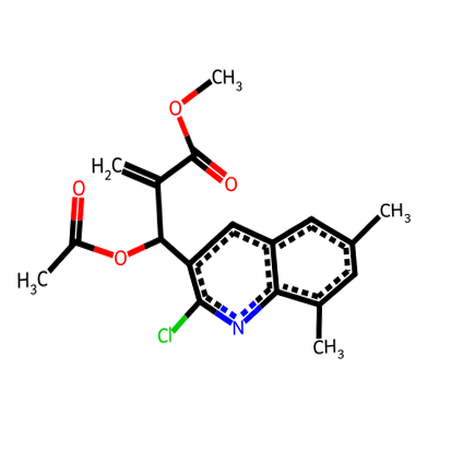 C=C(C(=O)OC)C(OC(C)=O)c1cc2cc(C)cc(C)c2nc1Cl